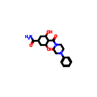 NC(=O)C1CC(O)C(C(=O)N2CCN(c3ccccc3)CC2)C(O)C1